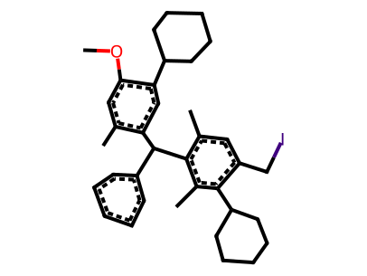 COc1cc(C)c(C(c2ccccc2)c2c(C)cc(CI)c(C3CCCCC3)c2C)cc1C1CCCCC1